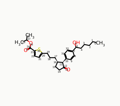 CCCCCC(O)c1ccc([C@H]2C(=O)CC[C@H]2CCCc2ccc(C(=O)OC(C)C)s2)cc1